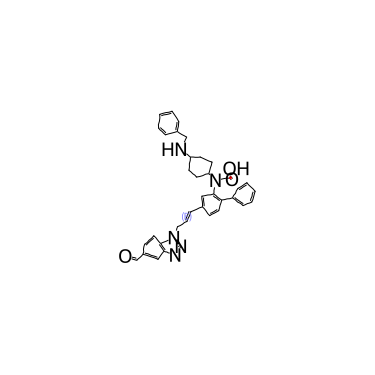 O=Cc1ccc2c(c1)nnn2C/C=C/c1ccc(-c2ccccc2)c(N(C(=O)O)C2CCC(NCc3ccccc3)CC2)c1